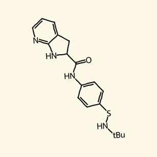 CC(C)(C)NSc1ccc(NC(=O)C2Cc3cccnc3N2)cc1